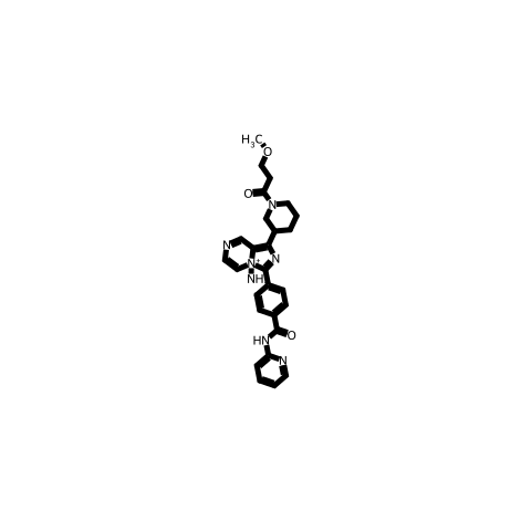 COCCC(=O)N1CCCC(C2=C3C=NC=C[N+]3(N)C(c3ccc(C(=O)Nc4ccccn4)cc3)=N2)C1